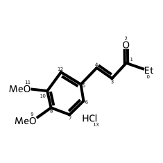 CCC(=O)C=Cc1ccc(OC)c(OC)c1.Cl